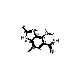 COc1c(C(=N)S)cc(C)c2[nH]c(C)nc12